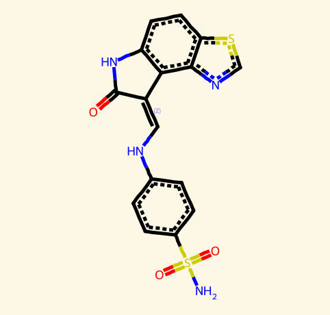 NS(=O)(=O)c1ccc(N/C=C2\C(=O)Nc3ccc4scnc4c32)cc1